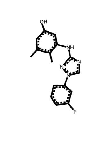 Cc1cc(O)cc(Nc2ncn(-c3cccc(F)c3)n2)c1C